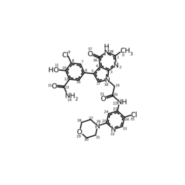 Cc1nc2c(c(-c3cc(Cl)c(O)c(C(N)=O)c3)cn2CC(=O)Nc2cc(N3CCOCC3)ncc2Cl)c(=O)[nH]1